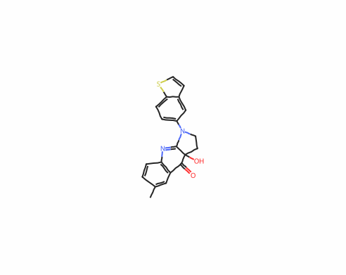 Cc1ccc2c(c1)C(=O)C1(O)CCN(c3ccc4sccc4c3)C1=N2